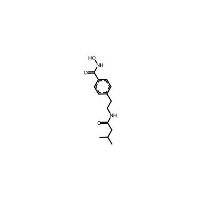 CC(C)CC(=O)NCCc1ccc(C(=O)NO)cc1